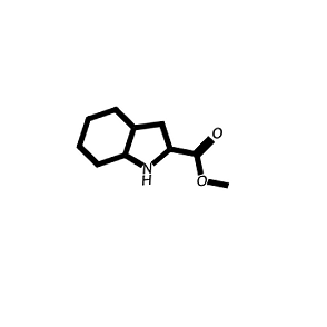 COC(=O)C1CC2CCCCC2N1